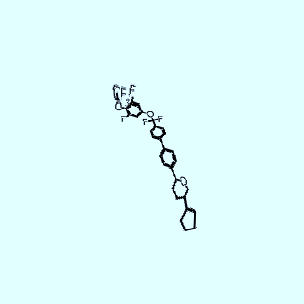 Fc1cc(OC(F)(F)c2ccc(-c3ccc(C4CCC(C5CCCC5)CO4)cc3)cc2)cc(F)c1OC(F)(F)F